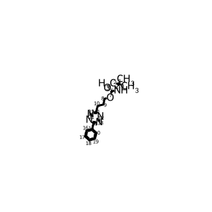 CC(C)(C)NC(=O)OCCCc1nnc(-c2ccccc2)nn1